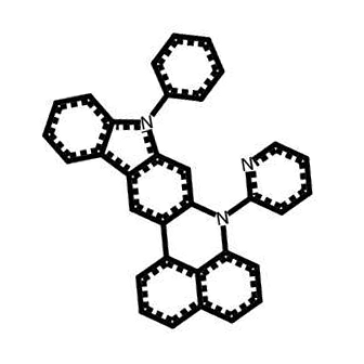 c1ccc(-n2c3ccccc3c3cc4c(cc32)N(c2ccccn2)c2cccc3cccc-4c23)cc1